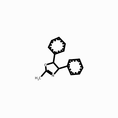 CC1=NC(c2ccccc2)C(c2ccccc2)O1